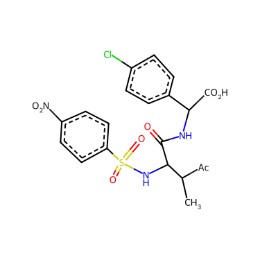 CC(=O)C(C)C(NS(=O)(=O)c1ccc([N+](=O)[O-])cc1)C(=O)NC(C(=O)O)c1ccc(Cl)cc1